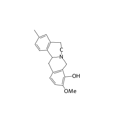 COc1ccc2c(c1O)CN1CCc3cc(C)ccc3C1C2